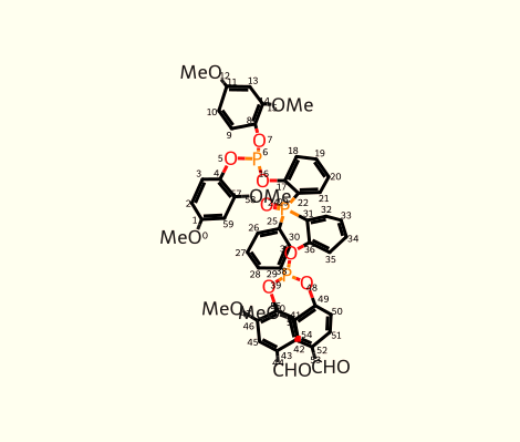 COc1ccc(OP(Oc2ccc(OC)cc2OC)Oc2ccccc2P(=O)(c2ccccc2)c2ccccc2OP(Oc2ccc(C=O)cc2OC)Oc2ccc(C=O)cc2OC)c(OC)c1